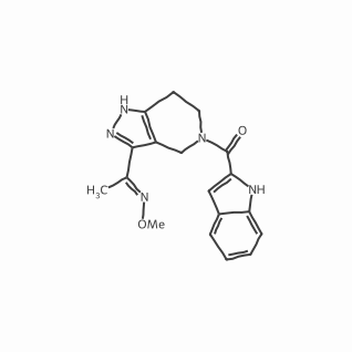 CON=C(C)c1n[nH]c2c1CN(C(=O)c1cc3ccccc3[nH]1)CC2